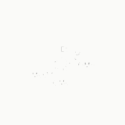 CCc1cc(C(OC)OC)oc1C(=O)OC